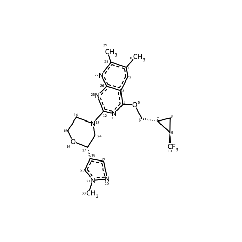 Cc1cc2c(OC[C@@H]3C[C@H]3C(F)(F)F)nc(N3CCO[C@@H](c4cnn(C)c4)C3)nc2nc1C